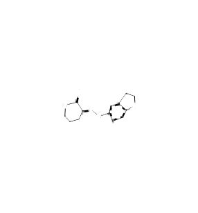 O=C1NCCC/C1=N\Nc1ccc2c(c1)CCO2